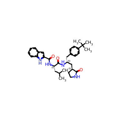 CC(C)C[C@H](NC(=O)c1cc2ccccc2[nH]1)C(=O)N[C@H](Cc1ccc(C(C)(C)C)cc1)C[C@@H]1CCNC1=O